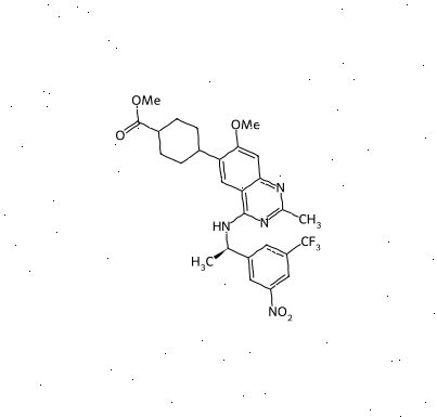 COC(=O)C1CCC(c2cc3c(N[C@H](C)c4cc([N+](=O)[O-])cc(C(F)(F)F)c4)nc(C)nc3cc2OC)CC1